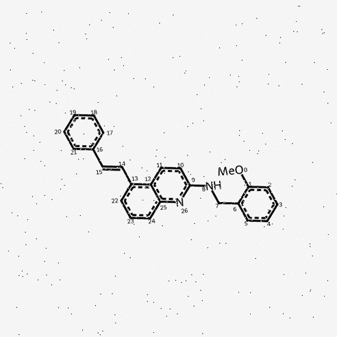 COc1ccccc1CNc1ccc2c(C=Cc3ccccc3)cccc2n1